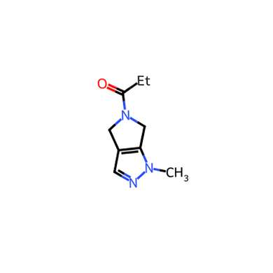 CCC(=O)N1Cc2cnn(C)c2C1